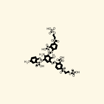 Cc1ccc(/N=N/c2cc(/N=N/c3ccc(S(=O)(=O)CCOS(=O)(=O)O)cc3S(=O)(=O)O)c(N)c(/N=N/c3ccc(S(=O)(=O)CCOS(=O)(=O)O)cc3S(=O)(=O)O)c2N)c(S(=O)(=O)O)c1